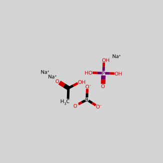 CC(=O)O.O=P(O)(O)O.[Na+].[Na+].[Na+].[O-]B([O-])[O-]